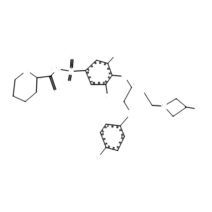 C[C@]1(C(=O)NS(=O)(=O)c2cc(Cl)c(O[C@H](CCN3CC(F)C3)COc3ccc(F)cc3)c(Cl)c2)CCCCO1